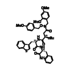 CCCC[C@H](CC(=O)N(Cc1ccc(OC)cc1OC)OCc1ccc(OC)cc1)C(=O)N[C@@H](Cc1csc2ccccc12)C(=O)N[C@H](Cc1ccccc1)C(N)=O